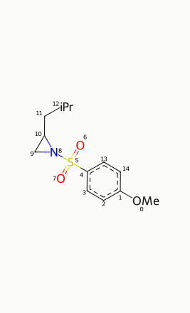 COc1ccc(S(=O)(=O)N2CC2CC(C)C)cc1